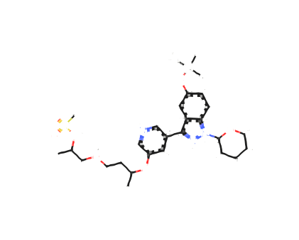 CC(CCOCC(C)OS(C)(=O)=O)Oc1cncc(-c2nn(C3CCCCO3)c3ccc(O[Si](C)(C)C(C)(C)C)cc23)c1